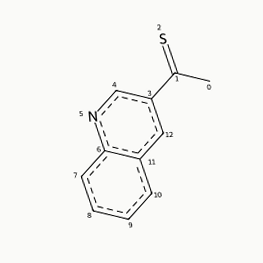 CC(=S)c1cnc2ccccc2c1